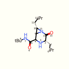 CC(C)C[C@@H]1NC(C(=O)NC(C)(C)C)C2[C@H](CC(C)C)N2C1=O